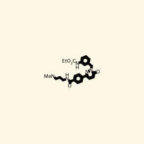 CCOC(=O)Nc1cccc(Cn2nc(-c3ccc(C(=O)NCCCNC)cc3)ccc2=O)c1